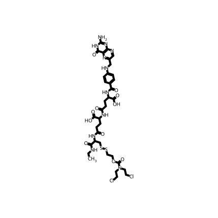 CCNC(=O)C(CSSCCOC(=O)N(CCCl)CCCl)NC(=O)CCC(NC(=O)CCC(NC(=O)c1ccc(NCc2cnc3nc(N)[nH]c(=O)c3n2)cc1)C(=O)O)C(=O)O